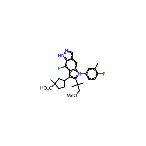 COCC(C)(C)c1c(C2CC[C@@](C)(C(=O)O)C2)c2c(F)c3[nH]ncc3cc2n1-c1ccc(F)c(C)c1